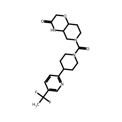 CC(F)(F)c1ccc(C2CCN(C(=O)N3CCC4OCC(=O)NC4C3)CC2)nc1